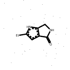 CCc1cc2c([nH]1)CNC2=O